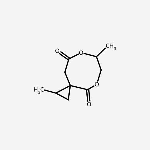 CC1COC(=O)C2(CC(=O)O1)CC2C